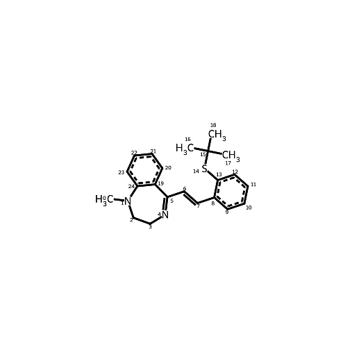 CN1CCN=C(/C=C/c2ccccc2SC(C)(C)C)c2ccccc21